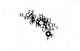 CC(NC(=O)C(=O)N1C[C@H]2COc3c(c(Cl)n(C)c3C(=O)Nc3ccc(F)c(F)c3)S(=O)(=O)N[C@H]2C1)C(F)(F)F